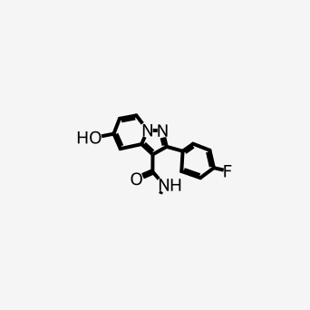 CNC(=O)c1c(-c2ccc(F)cc2)nn2ccc(O)cc12